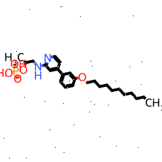 CCCCCCCCCCCOc1cccc(-c2ccnc(NCC(C)OP(=O)(O)O)c2)c1